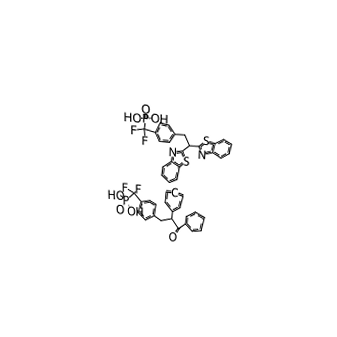 O=C(c1ccccc1)C(Cc1ccc(C(F)(F)P(=O)(O)O)cc1)c1ccccc1.O=P(O)(O)C(F)(F)c1ccc(CC(c2nc3ccccc3s2)c2nc3ccccc3s2)cc1